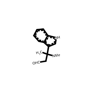 CNC(C)(CC=O)c1c[nH]c2ccccc12